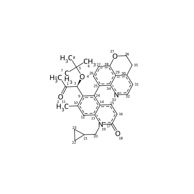 CC(=O)[C@@H](OC(C)(C)C)c1c(C)cc2c(ccc(=O)n2CC2CC2)c1-c1ccc2c3c(ccnc13)CCO2